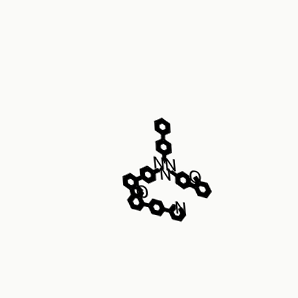 c1ccc(-c2ccc(-c3nc(-c4ccc(-c5cccc6c5oc5c(-c7ccc(-c8cccnc8)cc7)cccc56)cc4)nc(-c4ccc5c(c4)oc4ccccc45)n3)cc2)cc1